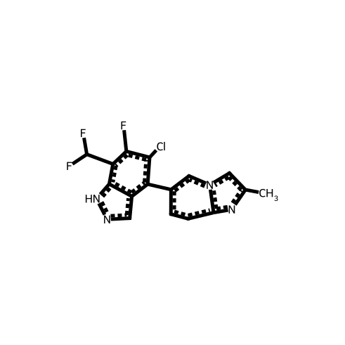 Cc1cn2cc(-c3c(Cl)c(F)c(C(F)F)c4[nH]ncc34)ccc2n1